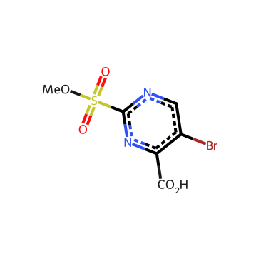 COS(=O)(=O)c1ncc(Br)c(C(=O)O)n1